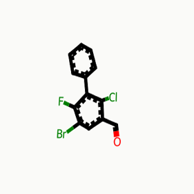 O=Cc1cc(Br)c(F)c(-c2ccccc2)c1Cl